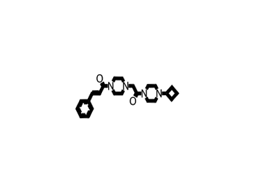 O=C(C=Cc1ccccc1)N1CCN(CC(=O)N2CCN(C3CCC3)CC2)CC1